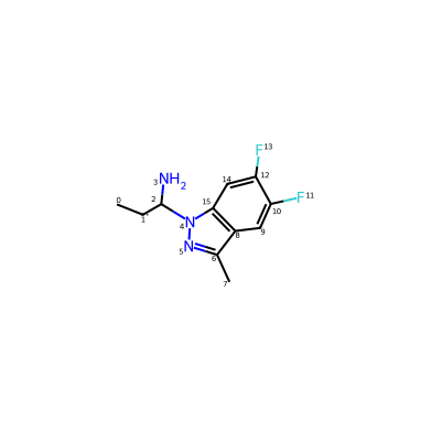 C[CH]C(N)n1nc(C)c2cc(F)c(F)cc21